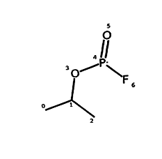 CC(C)O[P](=O)F